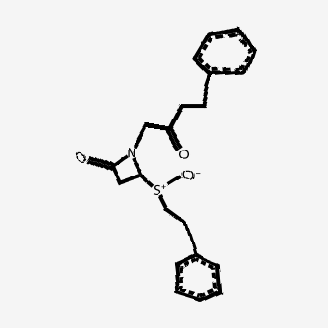 O=C(CCc1ccccc1)CN1C(=O)CC1[S+]([O-])CCc1ccccc1